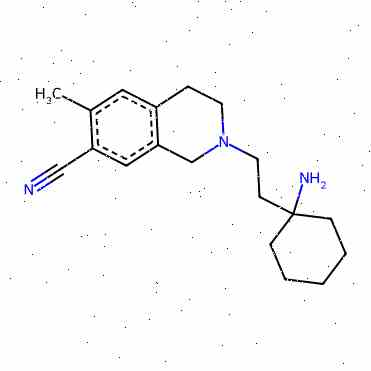 Cc1cc2c(cc1C#N)CN(CCC1(N)CCCCC1)CC2